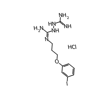 Cl.N=C(N)NNC(N)=NCCCOc1cccc(I)c1